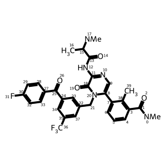 CNC(=O)c1cccc(-c2cnc(NC(=O)C(C)NC)c(=O)n2Cc2cc(C(=O)c3ccc(F)cc3)cc(C(F)(F)F)c2)c1C